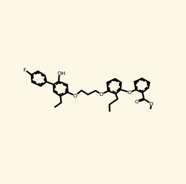 CCCc1c(OCCCOc2cc(O)c(-c3ccc(F)cc3)cc2CC)cccc1Oc1ccccc1C(=O)OC